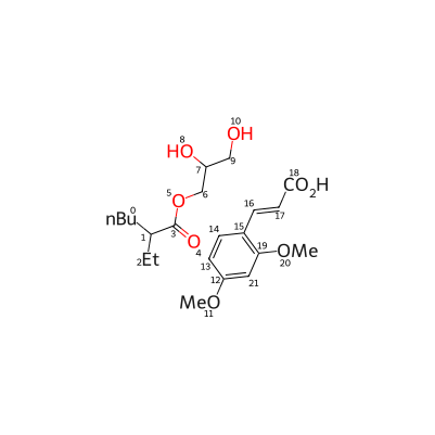 CCCCC(CC)C(=O)OCC(O)CO.COc1ccc(C=CC(=O)O)c(OC)c1